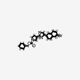 O=C(OCc1ccccc1)N1CCC(c2ncc(-c3ccc4cc(Br)ccc4c3)[nH]2)C1